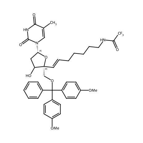 COc1ccc(C(OC[C@@]2(C=CCCCCCNC(=O)C(F)(F)F)O[C@@H](n3cc(C)c(=O)[nH]c3=O)CC2O)(c2ccccc2)c2ccc(OC)cc2)cc1